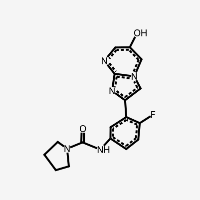 O=C(Nc1ccc(F)c(-c2cn3cc(O)cnc3n2)c1)N1CCCC1